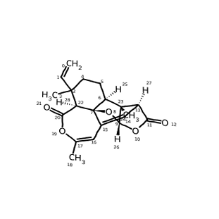 C=CC1(C)CC[C@@H]2[C@]34O[C@H]5OC(=O)[C@@H](C=C3C=C(C)OC(=O)[C@@H]14)[C@]52C